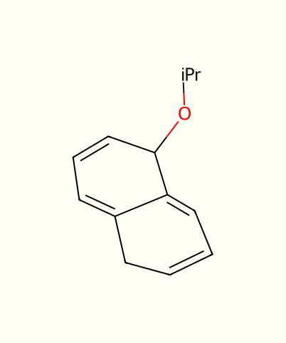 CC(C)OC1C=CC=C2CC=CC=C21